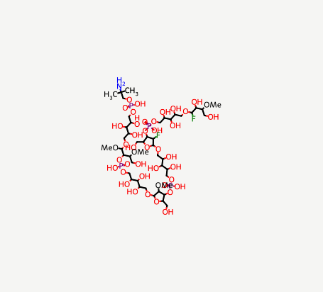 COC(CO)C(O)C(F)OCC(O)C(O)C(O)COP(=O)(O)OC1C(CO)OC(OCC(O)C(O)C(O)COP(=O)(O)OC2C(CO)OC(OCC(O)C(O)C(O)COP(=O)(O)OC(C(CO)OC)C(OC)OCC(O)C(O)C(O)COP(=O)(O)OCC(C)(C)N)C2OC)C1F